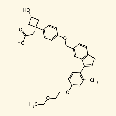 CCOCCOc1ccc(-c2csc3ccc(COc4ccc([C@]5(CC(=O)O)C[C@@H](O)C5)cc4)cc23)c(C)c1